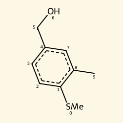 CSc1ccc([CH]O)cc1C